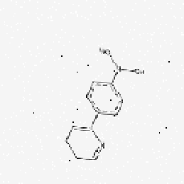 OB(O)c1ccc(C2=CCCC=N2)cc1